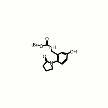 CC(C)(C)OC(=O)NCc1cc(O)ccc1N1CCCC1=O